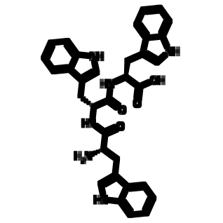 N[C@@H](Cc1c[nH]c2ccccc12)C(=O)N[C@H](Cc1c[nH]c2ccccc12)C(=O)N[C@@H](Cc1c[nH]c2ccccc12)C(=O)O